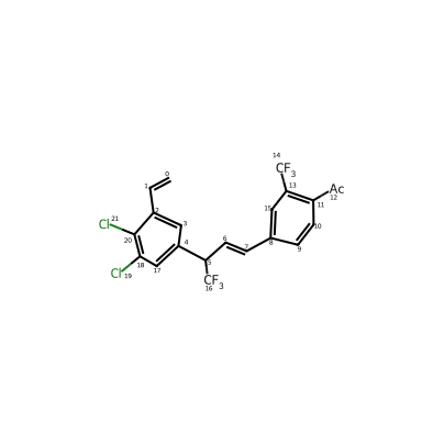 C=Cc1cc(C(/C=C/c2ccc(C(C)=O)c(C(F)(F)F)c2)C(F)(F)F)cc(Cl)c1Cl